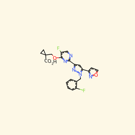 O=C(O)C1(COc2nc(-c3cc(-c4ccon4)n(Cc4ccccc4F)n3)ncc2F)CC1